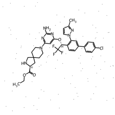 CCOC(=O)[C@@H]1CC2(CCN(c3cc(O[C@H](c4ccc(-c5ccc(Cl)cc5)cc4-n4ccc(C)n4)C(F)(F)F)nc(N)n3)CC2)CN1